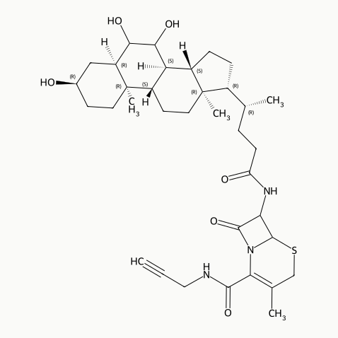 C#CCNC(=O)C1=C(C)CSC2C(NC(=O)CC[C@@H](C)[C@H]3CC[C@H]4[C@@H]5C(O)C(O)[C@@H]6C[C@H](O)CC[C@]6(C)[C@H]5CC[C@]34C)C(=O)N12